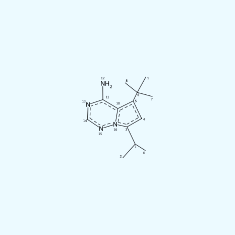 CC(C)c1cc(C(C)(C)C)c2c(N)ncnn12